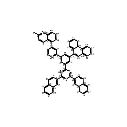 Cc1ccc2c(-c3ccnc(-c4cc(-c5nc(-c6ccc7ccccc7c6)nc(-c6ccc7ccccc7c6)n5)cc(-c5cc6ccccc6c6ccccc56)c4)c3)cccc2n1